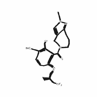 CC(Oc1ccc(C#N)c(Cl)c1C(=O)N1CCc2nn(C)cc2C1)C(F)(F)F